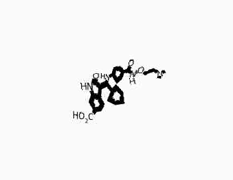 CN(C)CCONC(=O)c1ccc(N/C(=C2\C(=O)Nc3cc(C(=O)O)ccc32)c2ccccc2)cc1